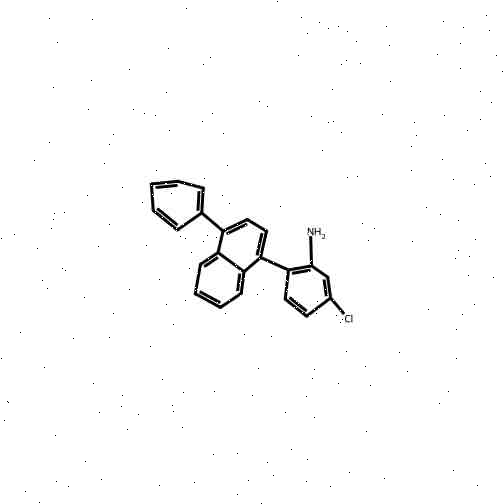 Nc1cc(Cl)ccc1-c1ccc(-c2ccccc2)c2ccccc12